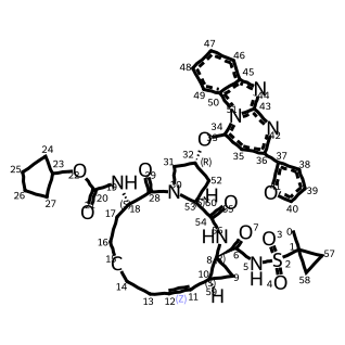 CC1(S(=O)(=O)NC(=O)[C@@]23C[C@H]2/C=C\CCCCC[C@H](NC(=O)OC2CCCC2)C(=O)N2C[C@H](Oc4cc(-c5ccco5)nc5nc6ccccc6n45)C[C@H]2C(=O)N3)CC1